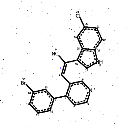 N#C/C(=C/c1cnccc1-c1cccc(Br)c1)c1c[nH]c2ccc(Cl)cc12